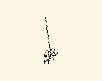 C=CC(NC(=O)C(F)(F)F)(C(=O)CCCCCCCCCCCCCCC)C(=O)OC